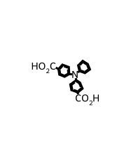 O=C(O)c1ccc(N(c2ccccc2)c2ccc(C(=O)O)cc2)cc1